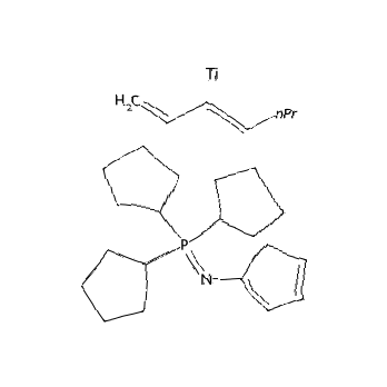 C1=CCC(N=P(C2CCCC2)(C2CCCC2)C2CCCC2)=C1.C=CC=CCCC.[Ti]